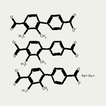 Cc1c(C(=O)[O-])ccc(-c2ccc(C(=O)[O-])cc2)c1C.Cc1c(C(=O)[O-])ccc(-c2ccc(C(=O)[O-])cc2)c1C.Cc1c(C(=O)[O-])ccc(-c2ccc(C(=O)[O-])cc2)c1C.[Fe+3].[Fe+3]